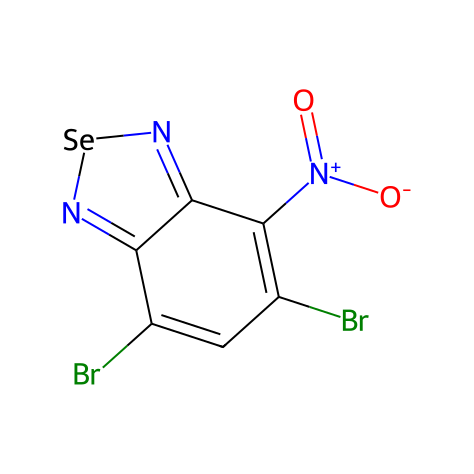 O=[N+]([O-])c1c(Br)cc(Br)c2n[se]nc12